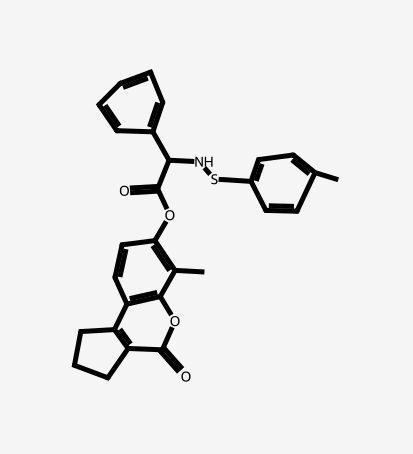 Cc1ccc(SNC(C(=O)Oc2ccc3c4c(c(=O)oc3c2C)CCC4)c2ccccc2)cc1